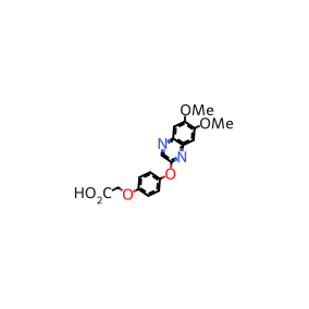 COc1cc2ncc(Oc3ccc(OCC(=O)O)cc3)nc2cc1OC